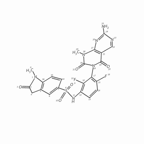 CN1C(=O)Cc2cc(S(=O)(=O)Nc3ccc(F)c(-n4c(=O)c5cnc(N)nc5n(C)c4=O)c3F)ccc21